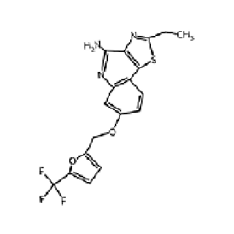 CCc1nc2c(N)nc3cc(OCc4ccc(C(F)(F)F)o4)ccc3c2s1